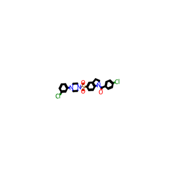 O=C(c1ccc(Cl)cc1)N1CCc2cc(S(=O)(=O)N3CCN(c4cccc(Cl)c4)CC3)ccc21